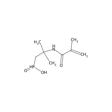 C=C(C)C(=O)NC(C)(C)C[PH](=O)O